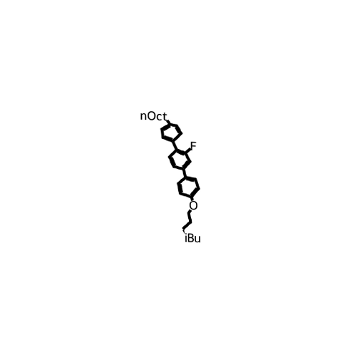 CCCCCCCCc1ccc(-c2ccc(-c3ccc(OCCC[C@@H](C)CC)cc3)cc2F)cc1